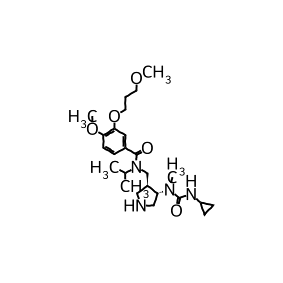 COCCCOc1cc(C(=O)N(C[C@@H]2CNC[C@H]2N(C)C(=O)NC2CC2)C(C)C)ccc1OC